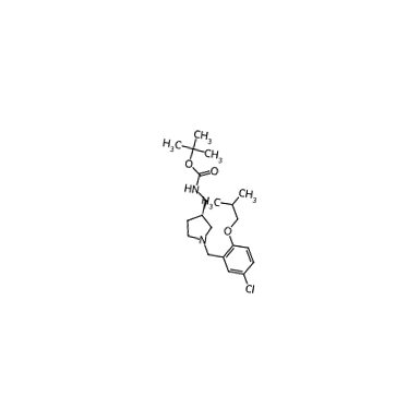 CC(C)COc1ccc(Cl)cc1CN1CC[C@@H](CNC(=O)OC(C)(C)C)C1